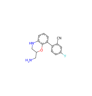 N#Cc1cc(F)ccc1-c1cccc2c1OC(CN)CN2